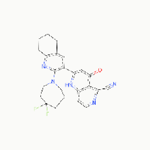 N#Cc1nccc2[nH]c(-c3cc4c(nc3N3CCCC(F)(F)CC3)CCCC4)cc(=O)c12